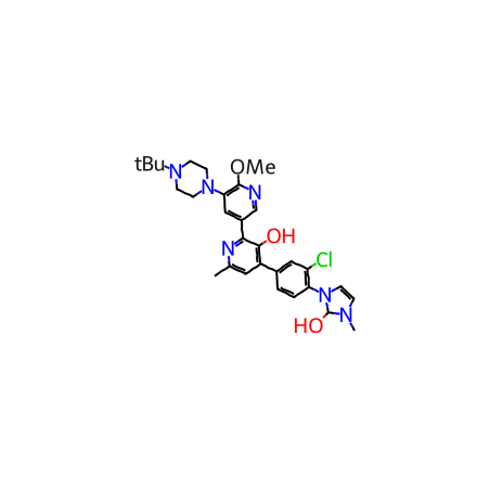 COc1ncc(-c2nc(C)cc(-c3ccc(N4C=CN(C)C4O)c(Cl)c3)c2O)cc1N1CCN(C(C)(C)C)CC1